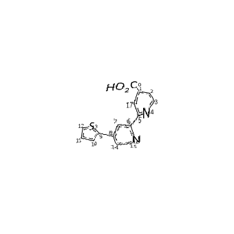 O=C(O)c1ccnc(-c2cc(-c3cccs3)ccn2)c1